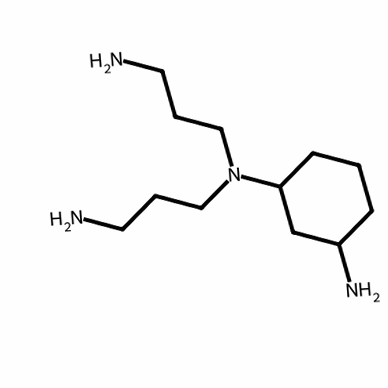 NCCCN(CCCN)C1CCCC(N)C1